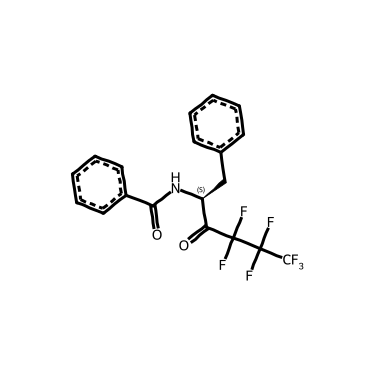 O=C(N[C@@H](Cc1ccccc1)C(=O)C(F)(F)C(F)(F)C(F)(F)F)c1ccccc1